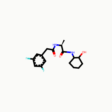 C[C@H](NC(=O)Cc1cc(F)cc(F)c1)C(=O)NC1CCCCC1O